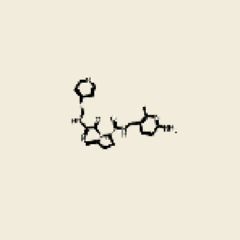 Cc1nc(N)ccc1CNC(=O)[C@@H]1CCc2cnc(NCCc3ccncc3)c(=O)n21